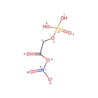 O=C(COP(=O)(O)O)O[N+](=O)[O-]